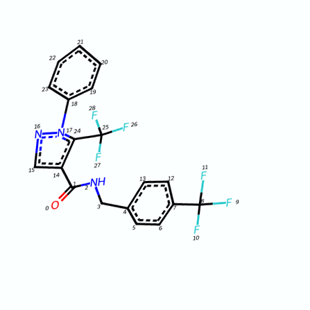 O=C(NCc1ccc(C(F)(F)F)cc1)c1cnn(-c2ccccc2)c1C(F)(F)F